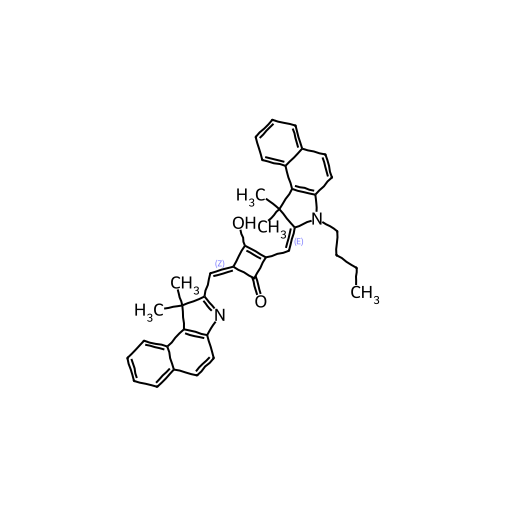 CCCCN1/C(=C/C2=C(O)C(=C/C3=Nc4ccc5ccccc5c4C3(C)C)/C2=O)C(C)(C)c2c1ccc1ccccc21